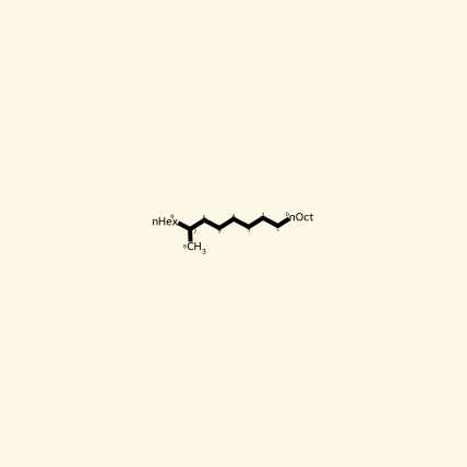 CCCCCCCCCCCCCCC(C)CCCCCC